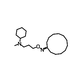 CN(CCCON=C1CCCCCCCCCCC1)C1CCCCC1